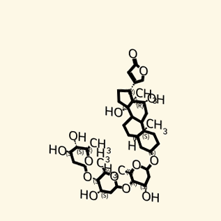 C[C@H]1OC(O[C@H]2[C@@H](O)CC(O[C@@H]3[C@@H](O)CC(O[C@H]4CC[C@]5(C)C6C[C@@H](O)[C@]7(C)[C@@H](C8=CC(=O)OC8)CC[C@]7(O)C6CC[C@@H]5C4)O[C@@H]3C)O[C@@H]2C)C[C@H](O)[C@@H]1O